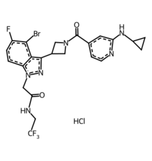 Cl.O=C(Cn1nc(C2CN(C(=O)c3ccnc(NC4CC4)c3)C2)c2c(Br)c(F)ccc21)NCC(F)(F)F